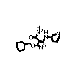 NC(=O)c1c(OCC2CCCCC2)nsc1Nc1cccnc1